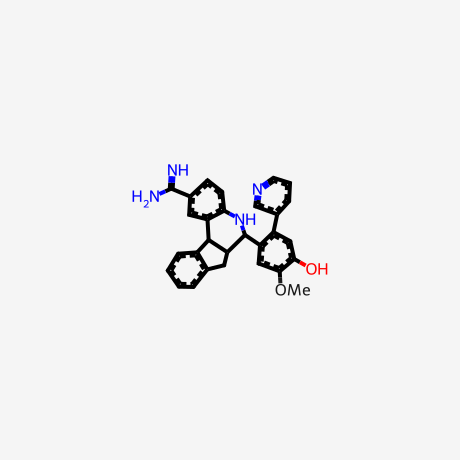 COc1cc(C2Nc3ccc(C(=N)N)cc3C3c4ccccc4CC23)c(-c2cccnc2)cc1O